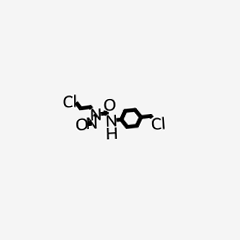 O=NN(CCCl)C(=O)NC1CCC(CCl)CC1